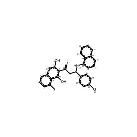 Cc1cccc2nc(O)c(C(=O)CC(Nc3cccc4ccccc34)c3ccc(Cl)cc3)c(O)c12